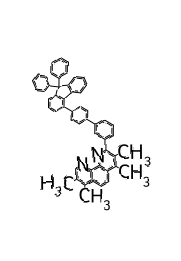 Cc1cnc2c(ccc3c(C)c(C)c(-c4cccc(-c5ccc(-c6cccc7c6-c6ccccc6C7(c6ccccc6)c6ccccc6)cc5)c4)nc32)c1C